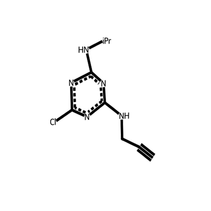 C#CCNc1nc(Cl)nc(NC(C)C)n1